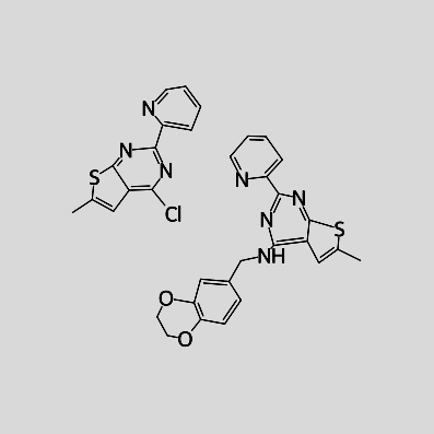 Cc1cc2c(Cl)nc(-c3ccccn3)nc2s1.Cc1cc2c(NCc3ccc4c(c3)OCCO4)nc(-c3ccccn3)nc2s1